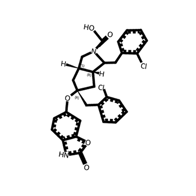 O=C(O)N1C[C@H]2C[C@@](Cc3ccccc3Cl)(Oc3ccc4[nH]c(=O)oc4c3)C[C@H]2C1Cc1ccccc1Cl